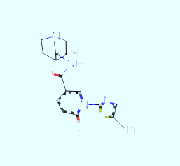 CC(C)c1cnc(-n2cc(C(=O)N[C@H]3CN4CCC3CC4)ccc2=O)s1